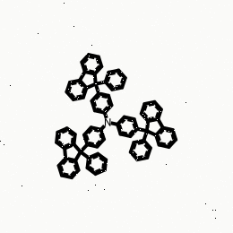 c1ccc(C2(c3ccc(N(c4ccc(C5(c6ccccc6)c6ccccc6-c6ccccc65)cc4)c4ccc(C5(c6ccccc6)c6ccccc6-c6ccccc65)cc4)cc3)c3ccccc3-c3ccccc32)cc1